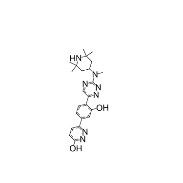 CN(c1ncc(-c2ccc(-c3ccc(O)nn3)cc2O)nn1)C1CC(C)(C)NC(C)(C)C1